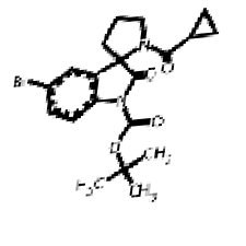 CC(C)(C)OC(=O)N1C(=O)C2(CCCN2C(=O)C2CC2)c2cc(Br)ccc21